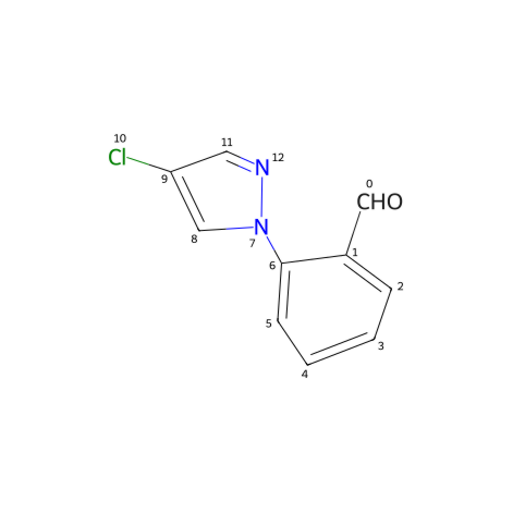 O=Cc1ccccc1-n1cc(Cl)cn1